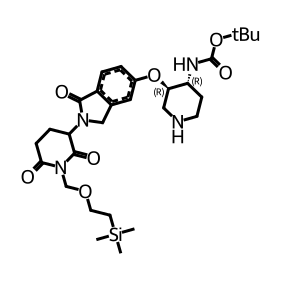 CC(C)(C)OC(=O)N[C@@H]1CCNC[C@H]1Oc1ccc2c(c1)CN(C1CCC(=O)N(COCC[Si](C)(C)C)C1=O)C2=O